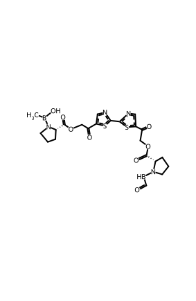 CB(O)N1CCC[C@H]1C(=O)OCC(=O)c1cnc(-c2ncc(C(=O)COC(=O)[C@@H]3CCCN3BC=O)s2)s1